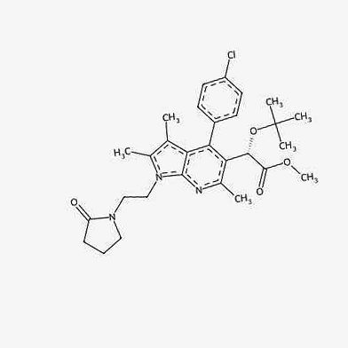 COC(=O)[C@@H](OC(C)(C)C)c1c(C)nc2c(c(C)c(C)n2CCN2CCCC2=O)c1-c1ccc(Cl)cc1